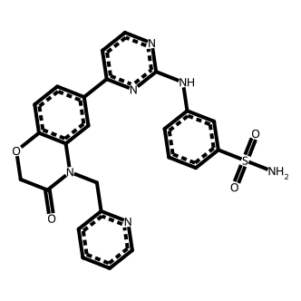 NS(=O)(=O)c1cccc(Nc2nccc(-c3ccc4c(c3)N(Cc3ccccn3)C(=O)CO4)n2)c1